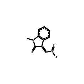 CN1C(=O)/C(=C/[N+](=O)[O-])c2ccccc21